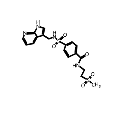 CS(=O)(=O)CCNC(=O)c1ccc(S(=O)(=O)NCc2c[nH]c3ncccc23)cc1